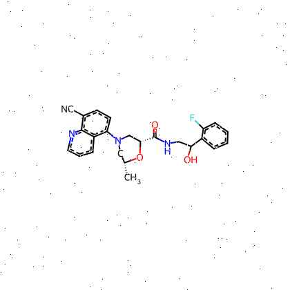 C[C@@H]1CN(c2ccc(C#N)c3ncccc23)C[C@H](C(=O)NCC(O)c2ccccc2F)O1